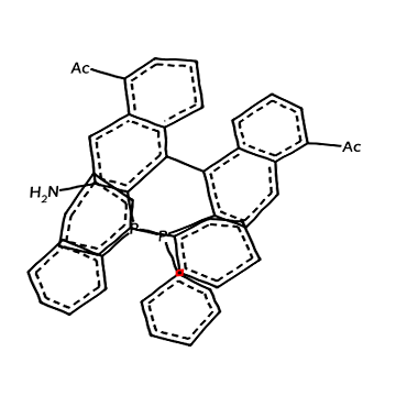 CC(=O)c1cccc2c(-c3c(P(c4ccccc4)c4ccccc4)c(N)cc4c(C(C)=O)cccc34)c(P(c3ccccc3)c3ccccc3)ccc12